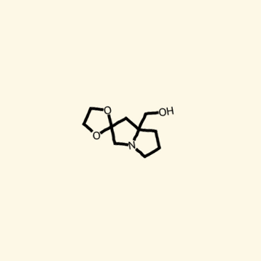 OCC12CCCN1CC1(C2)OCCO1